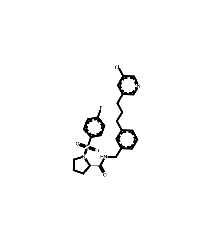 O=C(NCc1cccc(CCCc2cncc(Cl)c2)c1)[C@@H]1CCCN1S(=O)(=O)c1ccc(F)cc1